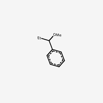 [CH2-][OH+]C(CC)c1ccccc1